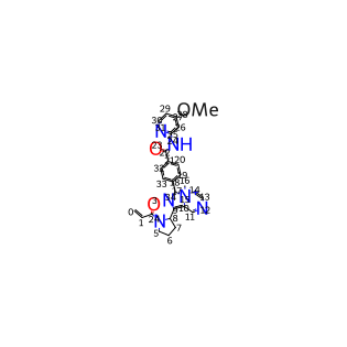 C=CC(=O)N1CCCC1C1=C2C=NC=C[N+]2(C)C(c2ccc(C(=O)Nc3cc(OC)ccn3)cc2)=N1